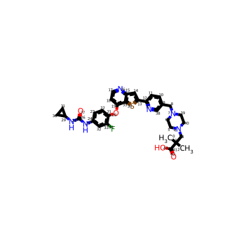 CC(C)(CN1CCN(Cc2ccc(-c3cc4nccc(Oc5ccc(NC(=O)NC6CC6)cc5F)c4s3)nc2)CC1)C(=O)O